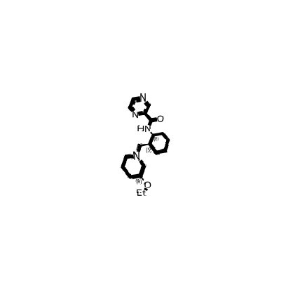 CCO[C@@H]1CCCN(C[C@@H]2CCCC[C@H]2NC(=O)c2cnccn2)C1